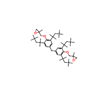 CC(C)(C)CC(C)(C)c1cc(Cc2cc(C(C)(C)CC(C)(C)C)c(OCC3(C)CO3)c(C(C)(C)CC(C)(C)C)c2)cc(C(C)(C)CC(C)(C)C)c1OCC1(C)CO1